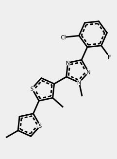 Cc1csc(-c2scc(-c3nc(-c4c(F)cccc4Cl)nn3C)c2C)c1